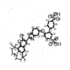 CC1(C)CCN2CCC(C)(C)c3c2c1cc1cc(-c2nc4cc(Oc5ccc(S(=O)(=O)O)cc5-c5ccc(S(=O)(=O)O)cc5)ccc4s2)c(=O)oc31